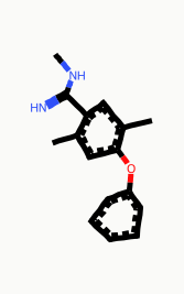 CNC(=N)c1cc(C)c(Oc2ccccc2)cc1C